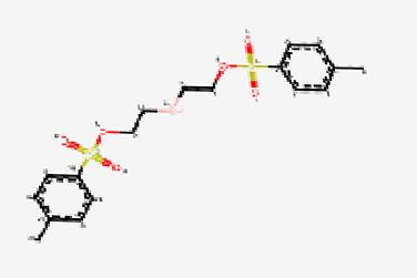 Cc1ccc(S(=O)(=O)OCCBCCOS(=O)(=O)c2ccc(C)cc2)cc1